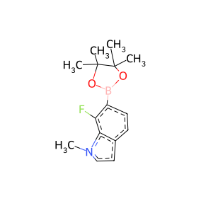 Cn1ccc2ccc(B3OC(C)(C)C(C)(C)O3)c(F)c21